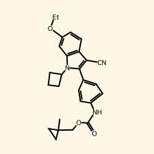 CCOc1ccc2c(C#N)c(-c3ccc(NC(=O)OCC4(C)CC4)cc3)n(C3CCC3)c2c1